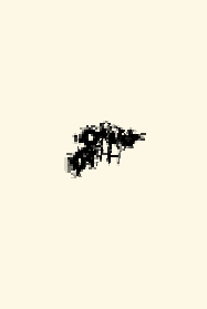 Cc1ccc(NC(=O)NC(=O)c2ccc(C)c(-c3cc4cnc(C)cc4n(C)c3=O)c2)nc1